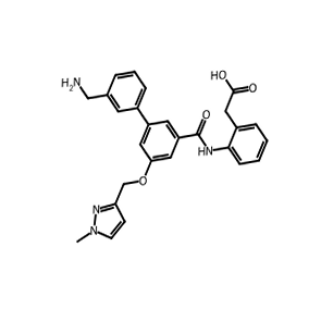 Cn1ccc(COc2cc(C(=O)Nc3ccccc3CC(=O)O)cc(-c3cccc(CN)c3)c2)n1